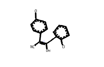 N#C/C(=C(\O)c1ccccc1Cl)c1ccc(Cl)cc1